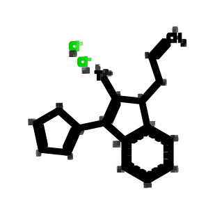 C=CCC1[C]([Ti+2])=C(C2=CC=CC2)c2ccccc21.[Cl-].[Cl-]